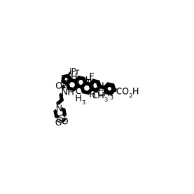 CC(C)[C@@H]1CC[C@]2(C(=O)NCCCN3CCS(=O)(=O)CC3)CC[C@]3(C)[C@H](CC[C@@H]4[C@@]5(C)[C@H](F)C=C(c6ccc(C(=O)O)cc6)C(C)(C)[C@@H]5CC[C@]43C)[C@@H]12